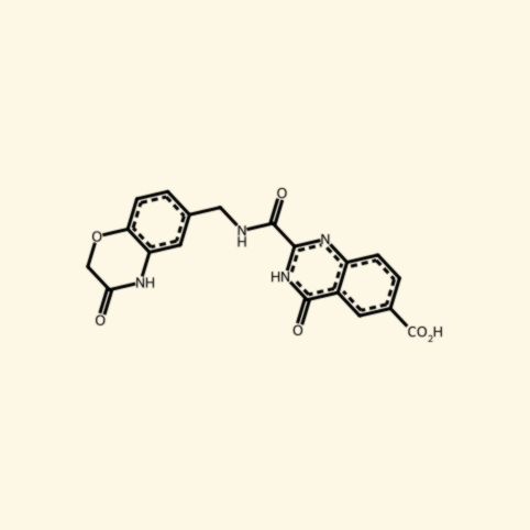 O=C1COc2ccc(CNC(=O)c3nc4ccc(C(=O)O)cc4c(=O)[nH]3)cc2N1